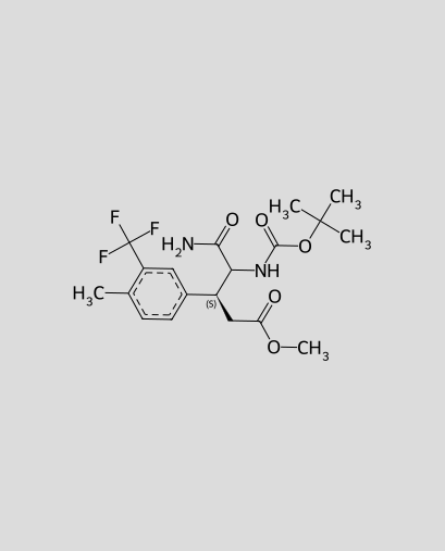 COC(=O)C[C@@H](c1ccc(C)c(C(F)(F)F)c1)C(NC(=O)OC(C)(C)C)C(N)=O